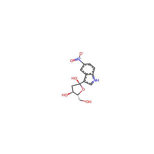 O=[N+]([O-])c1ccc2[nH]cc([C@@]3(O)C[C@H](O)[C@@H](CO)O3)c2c1